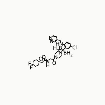 BC(B)(c1cc(Cl)ccc1NCc1ccnnc1)N1CCN(C(=O)CNC(=O)CC2(C)CCC(F)(F)CC2)CC1